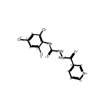 O=C(NNC(=S)Nc1c(Cl)cc(Cl)cc1Cl)c1cccnc1